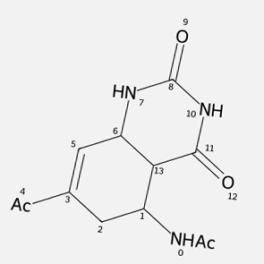 CC(=O)NC1CC(C(C)=O)=CC2NC(=O)NC(=O)C21